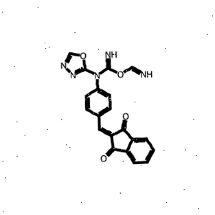 N=COC(=N)N(c1ccc(C=C2C(=O)c3ccccc3C2=O)cc1)c1nnco1